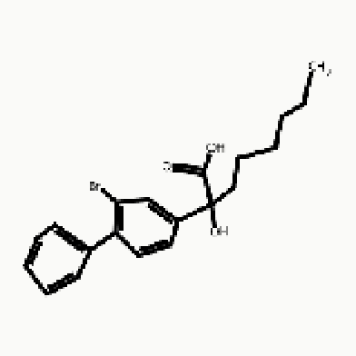 CCCCCCC(O)(C(=O)O)c1ccc(-c2ccccc2)c(Br)c1